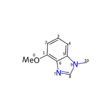 COc1cccc2c1ncn2C